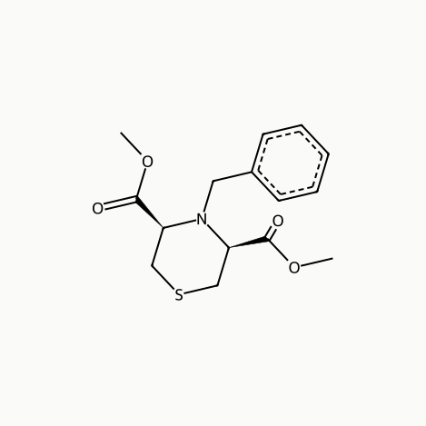 COC(=O)[C@H]1CSC[C@@H](C(=O)OC)N1Cc1ccccc1